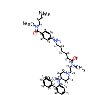 CNCCCN(OC)C(=O)c1ccc(NCCCCCC(=O)N(C)CCN2CCC(N(C(=O)O)c3ccccc3-c3ccccc3)CC2)cc1